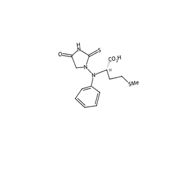 CSCC[C@@H](C(=O)O)N(c1ccccc1)N1CC(=O)NC1=S